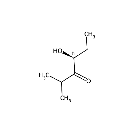 CC[C@H](O)C(=O)C(C)C